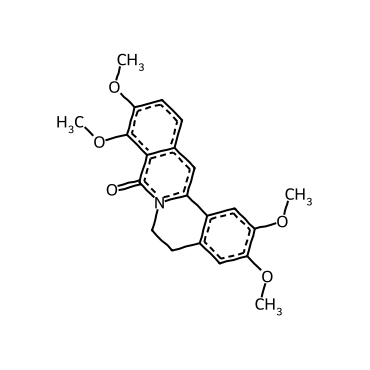 COc1cc2c(cc1OC)-c1cc3ccc(OC)c(OC)c3c(=O)n1CC2